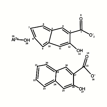 O=C([O-])c1cc2ccccc2cc1O.O=C([O-])c1cc2ccccc2cc1O.[OH][Al+2]